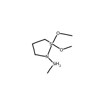 CO[Si]1(OC)CCCN1[SiH2]C